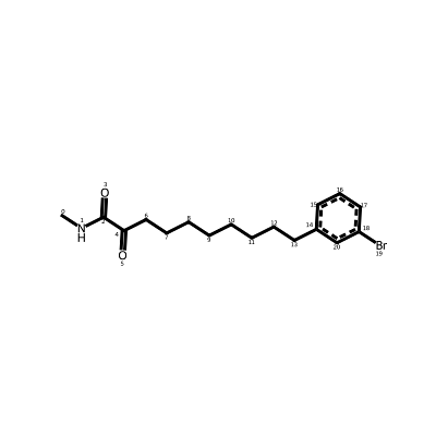 CNC(=O)C(=O)CCCCCCCCc1cccc(Br)c1